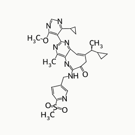 COc1ncnc(C2CC2)c1-c1nc(C)c2c(n1)/C=C(\[C@@H](C)C1CC1)CC(=O)/C(NCc1ccc(S(C)(=O)=O)nc1)=N\2